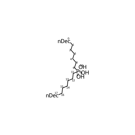 CCCCCCCCCCCCCCCCP(O)(O)(O)CCCCCCCCCCCCCCCC